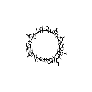 C/C=C/C[C@@H](C)[C@@H](O)[C@@H]1C(=O)N[C@H](CC)C(=O)N(C)CCC(=O)N(C)[C@@H](CC(C)C)C(=O)N[C@H](C(C)C)C(=O)N(C)[C@H](CC(C)C)C(=O)N[C@H](C)C(=O)N[C@@H](C)C(=O)N(C)[C@H](CC(C)C)C(=O)N(C)[C@H](CC(C)C)C(=O)N(C)[C@H](C(C)C)C(=O)N1C